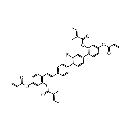 C=CC(=O)Oc1ccc(/C=C/c2ccc(-c3ccc(-c4ccc(OC(=O)C=C)cc4OC(=O)/C(C)=C/C)cc3F)cc2)c(OC(=O)/C(C)=C/C)c1